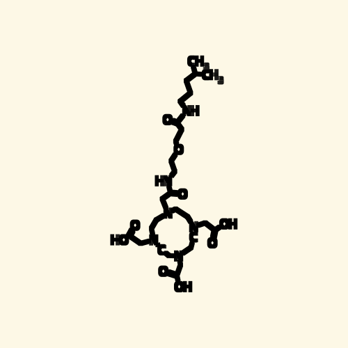 CC(C)CCCNC(=O)CCOCCNC(=O)CN1CCN(CC(=O)O)CCN(CC(=O)O)CCN(CC(=O)O)CC1